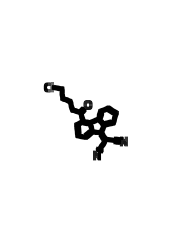 N#CC(C#N)=C1c2ccccc2-c2c(C(=O)CCCCCl)cccc21